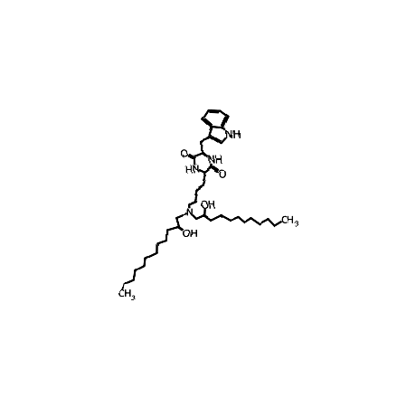 CCCCCCCCCCC(O)CN(CCCCC1NC(=O)C(Cc2c[nH]c3ccccc23)NC1=O)CC(O)CCCCCCCCCC